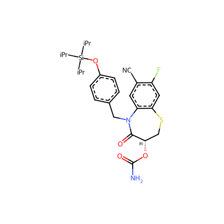 CC(C)[Si](Oc1ccc(CN2C(=O)[C@@H](OC(N)=O)CSc3cc(F)c(C#N)cc32)cc1)(C(C)C)C(C)C